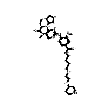 CC[C@@H]1C(=O)N(C)c2cnc(Nc3ccc(C(=O)NCCCCOCCOC4CCNCC4)cc3OC)nc2N1C1CCCC1